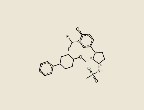 CS(=O)(=O)N[C@H]1CCN(c2ccc(=O)n(C(F)F)c2)[C@H]1COC1CCC(c2ccccc2)CC1